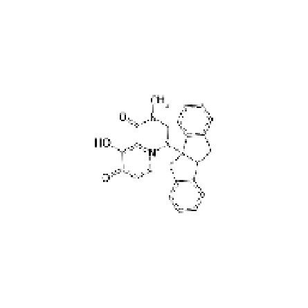 CN1CN(C23Cc4ccccc4C2Cc2ccccc23)n2ccc(=O)c(O)c2C1=O